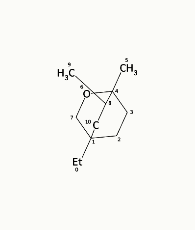 CCC12CCC(C)(OC1)C(C)C2